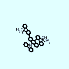 CC1(C)c2ccccc2-c2ccc(-c3ccc4c(-n5c6ccccc6c6ccccc65)c5ccccc5c(-c5cccc6c5-c5ccccc5C6(C)C)c4c3)cc21